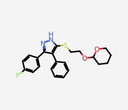 Fc1ccc(-c2n[nH]c(SCCOC3CCCCO3)c2-c2ccccc2)cc1